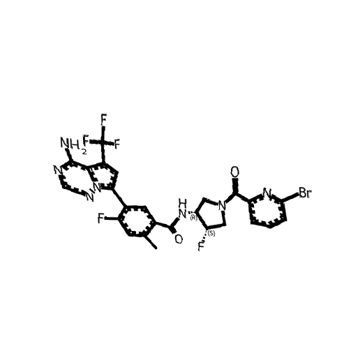 Cc1cc(F)c(-c2cc(C(F)(F)F)c3c(N)ncnn23)cc1C(=O)N[C@@H]1CN(C(=O)c2cccc(Br)n2)C[C@@H]1F